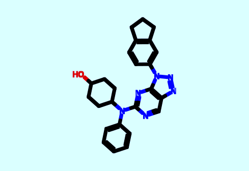 OC1CCC(N(c2ccccc2)c2ncc3nnn(-c4ccc5c(c4)CCC5)c3n2)CC1